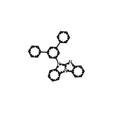 c1ccc(-c2cc(-c3ccccc3)cc(-n3c4ccccc4n4c5ccccc5nc34)c2)cc1